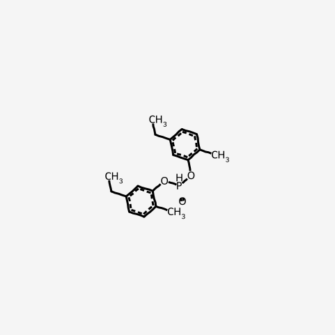 CCc1ccc(C)c(O[PH](=O)Oc2cc(CC)ccc2C)c1